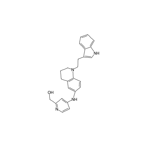 OCc1cc(Nc2ccc3c(c2)CCCN3CCc2c[nH]c3ccccc23)ccn1